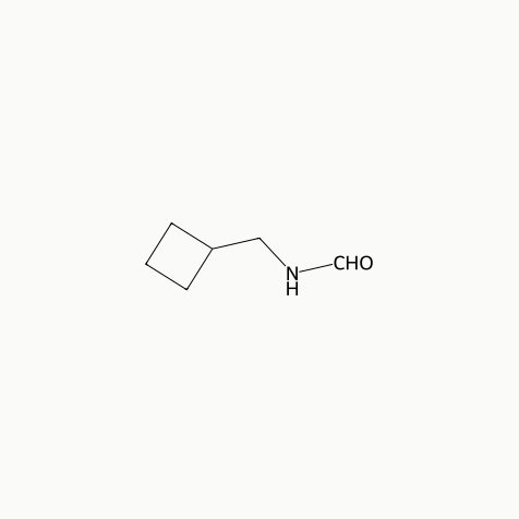 O=CNCC1CCC1